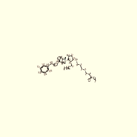 COC(=O)CCCCCCC[C@H]1CC[C@@H](NC(=O)OCc2ccccc2)[C@@H]1CO